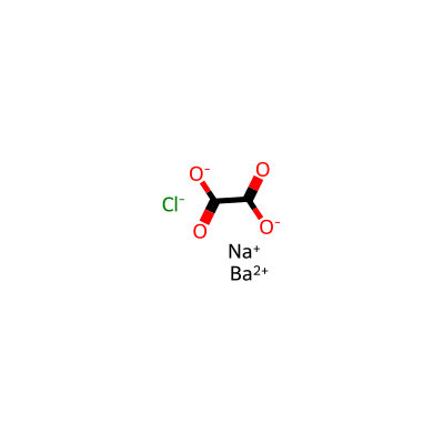 O=C([O-])C(=O)[O-].[Ba+2].[Cl-].[Na+]